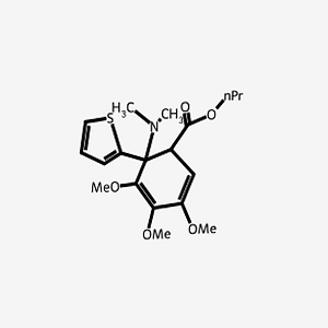 CCCOC(=O)C1C=C(OC)C(OC)=C(OC)C1(c1cccs1)N(C)C